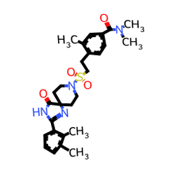 Cc1cc(C(=O)N(C)C)ccc1CCS(=O)(=O)N1CCC2(CC1)N=C(c1cccc(C)c1C)NC2=O